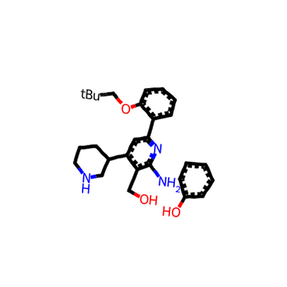 CC(C)(C)COc1ccccc1-c1cc(C2CCCNC2)c(CO)c(N)n1.Oc1ccccc1